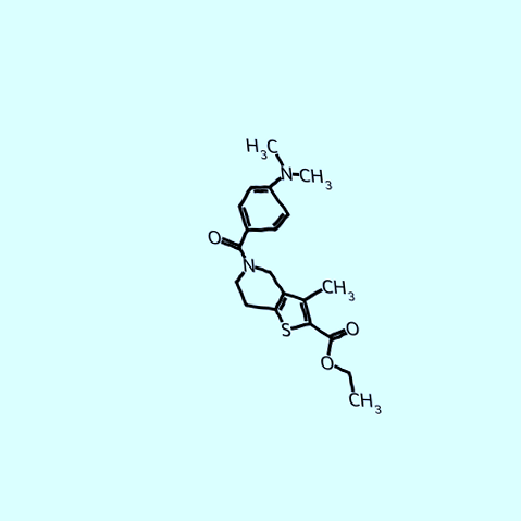 CCOC(=O)c1sc2c(c1C)CN(C(=O)c1ccc(N(C)C)cc1)CC2